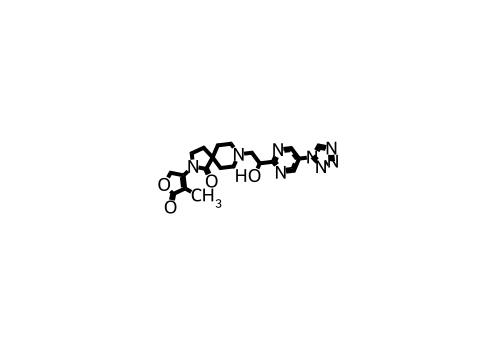 CC1=C(N2CCC3(CCN(CC(O)c4ncc(-n5cnnn5)cn4)CC3)C2=O)COC1=O